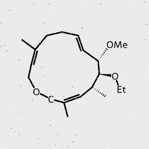 CCO[C@H]1[C@H](C)/C=C(/C)COC/C=C(/C)CC/C=C/[C@@H]1OC